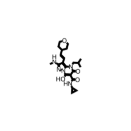 CNc1nn2c(O)c(C(=O)NC3CC3)c(=O)n(CC(C)C)c2c1C=CC1CCOCC1